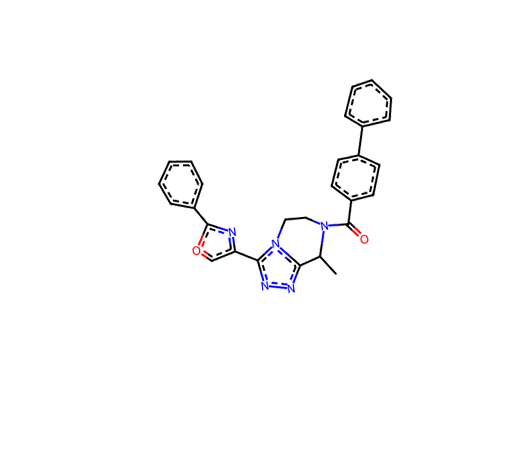 CC1c2nnc(-c3coc(-c4ccccc4)n3)n2CCN1C(=O)c1ccc(-c2ccccc2)cc1